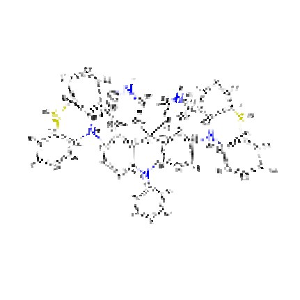 c1ccc(N2c3ccc(N4c5ccccc5Sc5ccccc54)cc3C3(c4cc(N5c6ccccc6Sc6ccccc65)ccc42)c2cccnc2-c2ncccc23)cc1